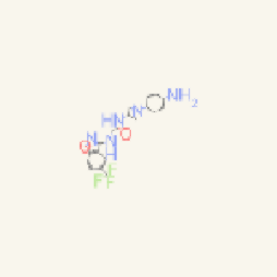 N[C@H]1CC[C@@H](N2CC(NC(=O)CNc3noc4ccc(C(F)(F)F)cc34)C2)CC1